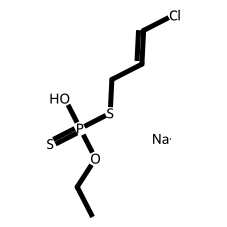 CCOP(O)(=S)SCC=CCl.[Na]